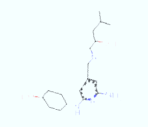 CC(C)CC(O)CNCc1cc(N)nc(N[C@H]2CC[C@H](O)CC2)c1